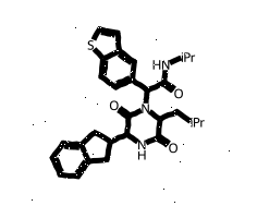 CC(C)CC1C(=O)NC(C2Cc3ccccc3C2)C(=O)N1C(C(=O)NC(C)C)c1ccc2sccc2c1